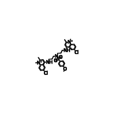 COc1ccc(S(=O)(=O)N(CCCNc2cc(C)[n+](C)c3ccc(Cl)cc23)CCCNc2cc(C)[n+](C)c3ccc(Cl)cc23)cc1